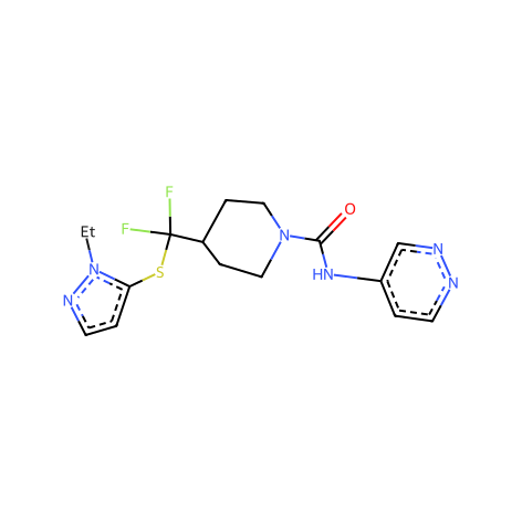 CCn1nccc1SC(F)(F)C1CCN(C(=O)Nc2ccnnc2)CC1